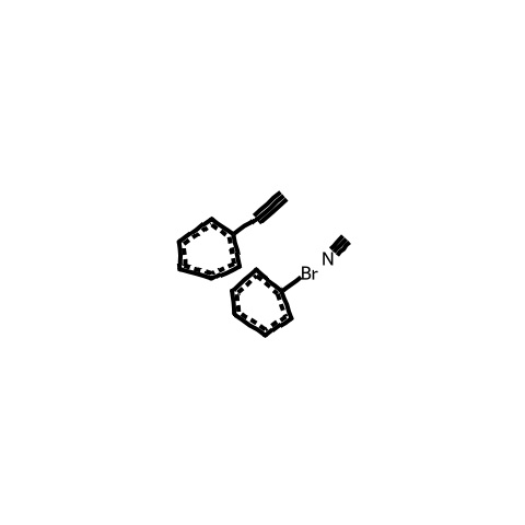 Brc1ccccc1.C#Cc1ccccc1.C#N